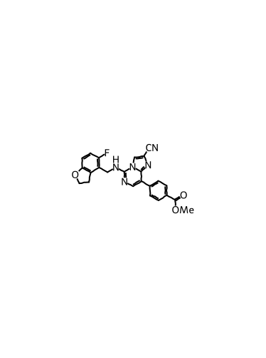 COC(=O)c1ccc(-c2cnc(NCc3c(F)ccc4c3CCO4)n3cc(C#N)nc23)cc1